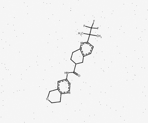 CC(C)(c1ccc2c(n1)CCC(C(=O)Nc1cnc3c(c1)COCC3)C2)C(F)(F)F